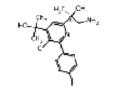 CC(C)(O)c1cc([C@@](C)(O)CN)nc(-c2ccc(F)cc2)c1Cl